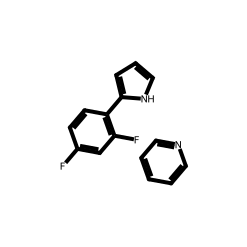 Fc1ccc(-c2ccc[nH]2)c(F)c1.c1ccncc1